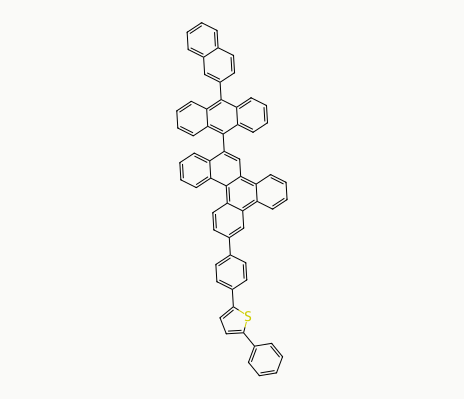 c1ccc(-c2ccc(-c3ccc(-c4ccc5c(c4)c4ccccc4c4cc(-c6c7ccccc7c(-c7ccc8ccccc8c7)c7ccccc67)c6ccccc6c54)cc3)s2)cc1